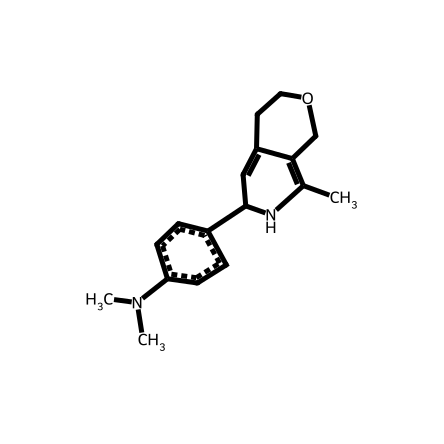 CC1=C2COCCC2=CC(c2ccc(N(C)C)cc2)N1